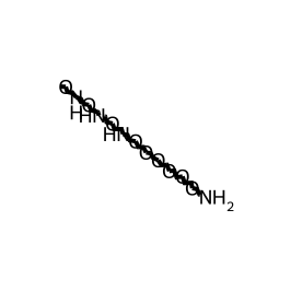 COCCNCCOCCNCCOCCNCCOCCOCCOCCOCCOCCOCCN